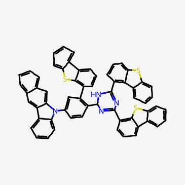 c1ccc2cc3c(cc2c1)c1ccccc1n3-c1ccc(C2N=C(c3cccc4c3sc3ccccc34)N=C(c3cccc4sc5ccccc5c34)N2)c(-c2cccc3c2sc2ccccc23)c1